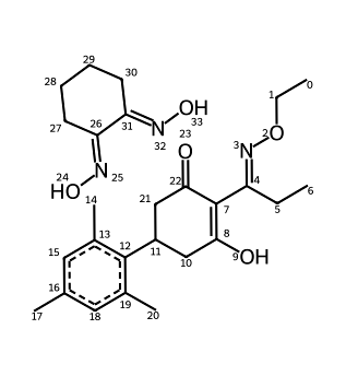 CCON=C(CC)C1=C(O)CC(c2c(C)cc(C)cc2C)CC1=O.ON=C1CCCCC1=NO